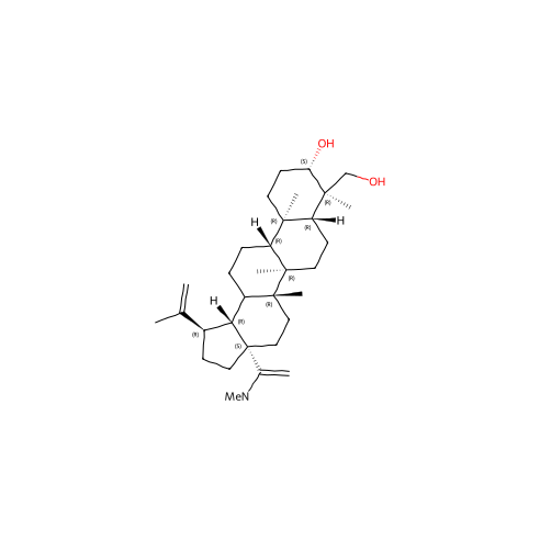 C=C(C)[C@@H]1CC[C@]2(C(=C)NC)CC[C@]3(C)C(CC[C@@H]4[C@@]5(C)CC[C@H](O)[C@@](C)(CO)[C@@H]5CC[C@]43C)[C@@H]12